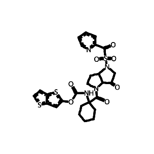 O=C(NC1(C(=O)N2CCC3C2C(=O)CN3S(=O)(=O)C(=O)c2ccccn2)CCCCC1)Oc1cc2sccc2s1